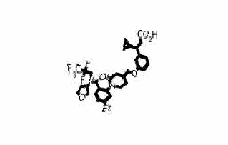 CCc1ccc(C(O)N(CC(F)(F)C(F)(F)F)C2CCOC2)c(N2CCC(COc3cccc(C(CC(=O)O)C4CC4)c3)CC2)c1